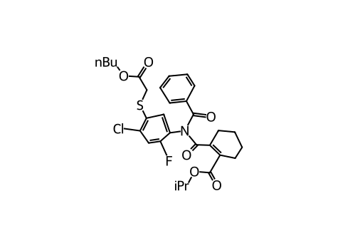 CCCCOC(=O)CSc1cc(N(C(=O)C2=C(C(=O)OC(C)C)CCCC2)C(=O)c2ccccc2)c(F)cc1Cl